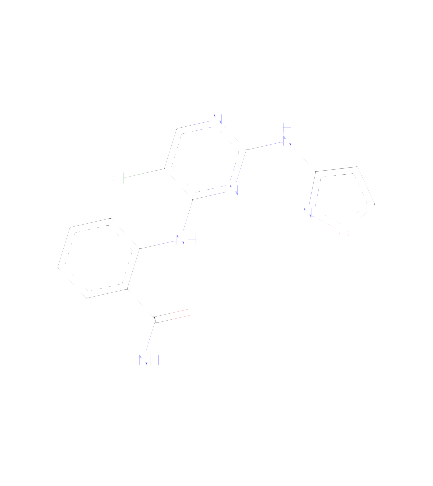 NC(=O)c1ccccc1Nc1nc(Nc2ccon2)ncc1Cl